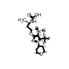 C[C@H](CCOc1nn(C2CCOCC2)c(C(F)(F)F)c1[N+](=O)[O-])NC(=O)O